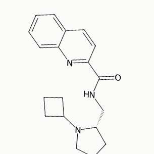 O=C(NC[C@@H]1CCCN1C1CCC1)c1ccc2ccccc2n1